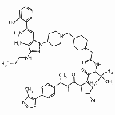 CCCNc1nn(C2CCN(CC3CCN(CC(=O)N[C@H](C(=O)N4C[C@H](O)C[C@H]4C(=O)N[C@@H](C)c4ccc(-c5scnc5C)cc4)C(C)(C)C)CC3)CC2)c(/C=C(\N)c2ccccc2O)c1N